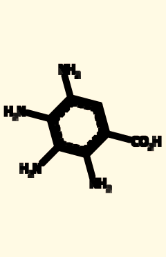 Nc1cc(C(=O)O)c(N)c(N)c1N